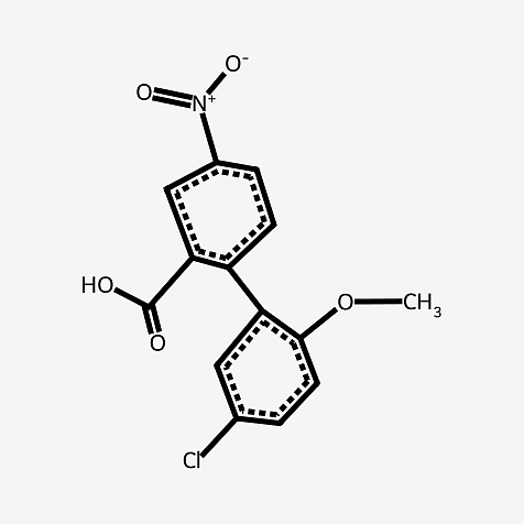 COc1ccc(Cl)cc1-c1ccc([N+](=O)[O-])cc1C(=O)O